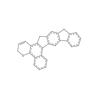 C1=Cc2c3c(c4ccccc4c2OC1)-c1cc2c(cc1C3)Cc1ccccc1-2